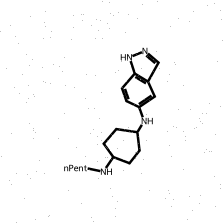 CCCCCNC1CCC(Nc2ccc3[nH]ncc3c2)CC1